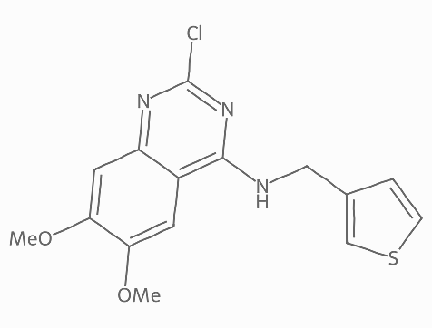 COc1cc2nc(Cl)nc(NCc3ccsc3)c2cc1OC